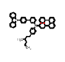 C=CCC(C)CCc1ccc(N(c2ccc(-c3cccc4cccc(-c5ccccc5)c34)cc2)c2cccc(-c3ccc(-n4c5ccccc5c5ccccc54)cc3)c2)cc1